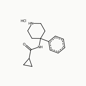 Cl.O=C(NC1(c2ccccc2)CCNCC1)C1CC1